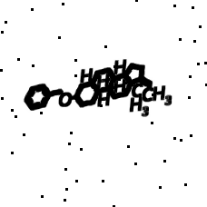 C/C=C1/CC[C@H]2[C@@H]3CC[C@@H]4C[C@H](OCc5ccccc5)CC[C@@H]4[C@H]3CC[C@]12C